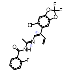 C=C/C(=C\N=C(/C)NC(=O)c1ccccc1F)c1cc2c(cc1Cl)OC(F)(F)O2